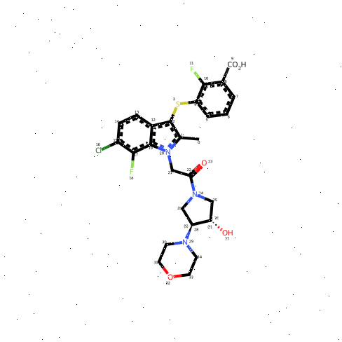 Cc1c(Sc2cccc(C(=O)O)c2F)c2ccc(Cl)c(F)c2n1CC(=O)N1C[C@H](O)[C@@H](N2CCOCC2)C1